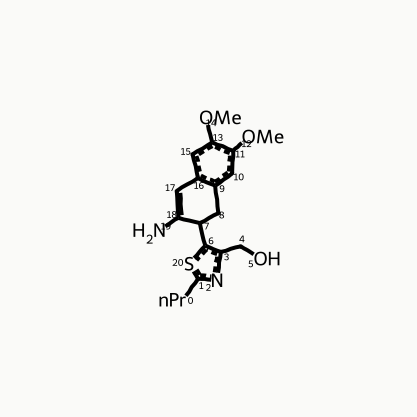 CCCc1nc(CO)c(C2Cc3cc(OC)c(OC)cc3C=C2N)s1